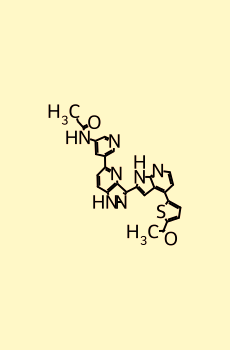 CCC(=O)Nc1cncc(-c2ccc3[nH]nc(-c4cc5c(-c6ccc(C(C)=O)s6)ccnc5[nH]4)c3n2)c1